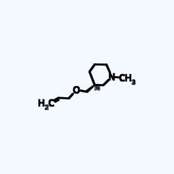 C=CCOC[C@H]1CCCN(C)C1